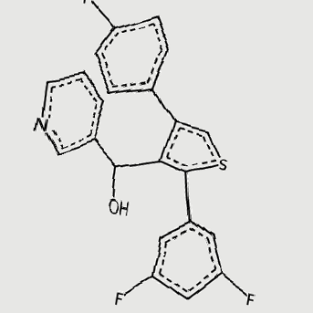 OC(c1cccnc1)c1c(-c2ccc(F)cc2)csc1-c1cc(F)cc(F)c1